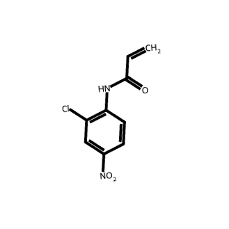 C=CC(=O)Nc1ccc([N+](=O)[O-])cc1Cl